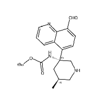 C[C@@H]1CNC[C@](NC(=O)OC(C)(C)C)(c2ccc(C=O)c3ncccc23)C1